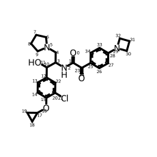 O=C(NC(CN1CCCC1)C(O)c1ccc(OC2CC2)c(Cl)c1)C(=O)c1ccc(N2CCC2)cc1